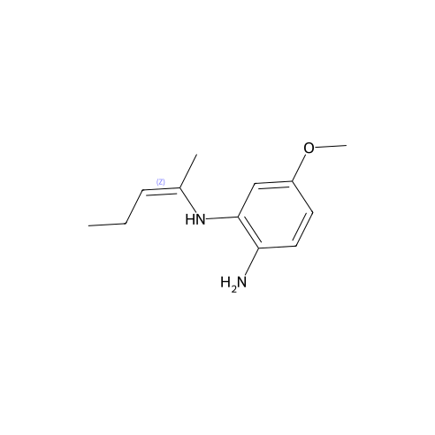 CC/C=C(/C)Nc1cc(OC)ccc1N